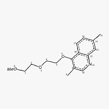 COCCOCCOc1c(C)cnc2cc(C)ccc12